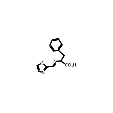 O=C(O)C(Cc1ccccc1)N=Cc1nccs1